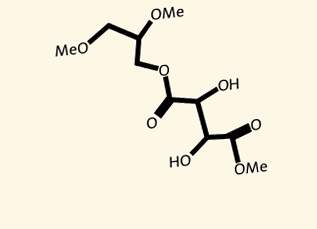 COCC(COC(=O)C(O)C(O)C(=O)OC)OC